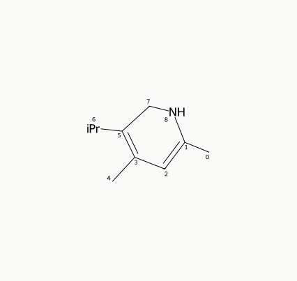 CC1=CC(C)=C(C(C)C)CN1